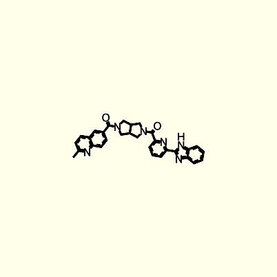 Cc1ccc2cc(C(=O)N3CC4CN(C(=O)c5cccc(-c6nc7ccccc7[nH]6)n5)CC4C3)ccc2n1